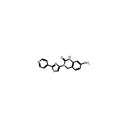 Nc1ccc2c(c1)NC(=O)N(c1csc(-c3ccncc3)n1)C2